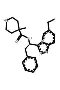 CC1(C(=O)N[C@H](Cc2ccccc2)c2nnc3ccc(CF)cn23)CCNCC1